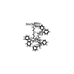 CO[Si](CCCOCCC[Si](C)(O[Si](C)(CC[Si](C)(C)O[Si](C)(c1ccccc1)c1ccccc1)O[Si](C)(O[Si](C)(C)c1ccccc1)c1ccccc1)O[Si](C)(c1ccccc1)c1ccccc1)(OC)OC